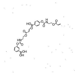 C=CC(=O)OCCNC(=O)Oc1ccc(B(O)O/C=C/C(=O)OCCNC(=O)Oc2cccc(B(O)O)c2)cc1